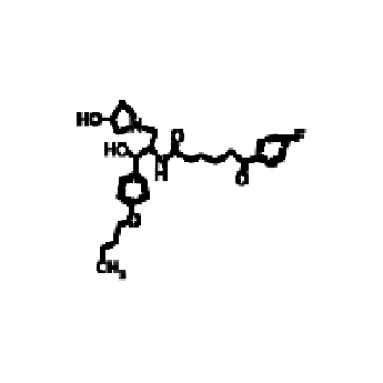 CCCCOc1ccc([C@@H](O)[C@@H](CN2CCC(O)C2)NC(=O)CCCCC(=O)c2ccc(F)cc2)cc1